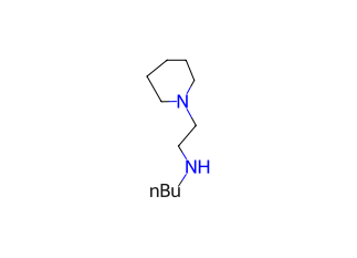 CCCCNCCN1CCCCC1